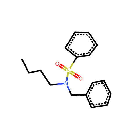 CCCCN(Cc1ccccc1)S(=O)(=O)c1ccccc1